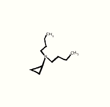 CCCCN(CCCC)[C]1CC1